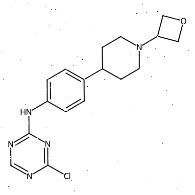 Clc1ncnc(Nc2ccc(C3CCN(C4COC4)CC3)cc2)n1